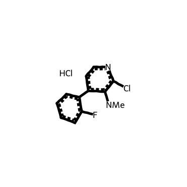 CNc1c(-c2ccccc2F)ccnc1Cl.Cl